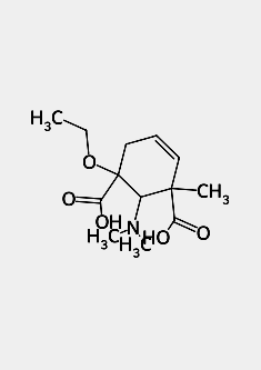 CCOC1(C(=O)O)CC=CC(C)(C(=O)O)C1N(C)C